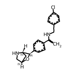 C=C(NCc1ccc(Cl)cc1)c1ccc([C@H]2O[C@@H]3CN[C@H]2C3)cc1